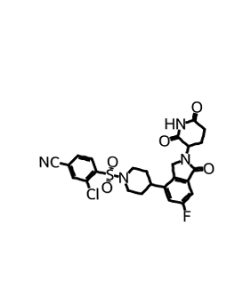 N#Cc1ccc(S(=O)(=O)N2CCC(c3cc(F)cc4c3CN(C3CCC(=O)NC3=O)C4=O)CC2)c(Cl)c1